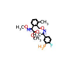 CO/N=C(/C(=O)OC)c1cccc(C)c1CO/N=C(\C)c1ccc(F)c(P)c1